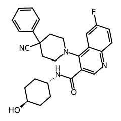 N#CC1(c2ccccc2)CCN(c2c(C(=O)N[C@H]3CC[C@H](O)CC3)cnc3ccc(F)cc23)CC1